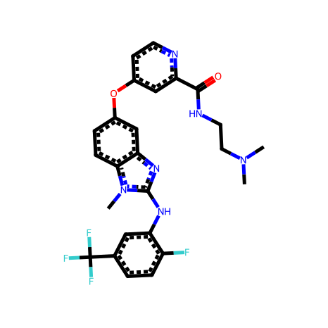 CN(C)CCNC(=O)c1cc(Oc2ccc3c(c2)nc(Nc2cc(C(F)(F)F)ccc2F)n3C)ccn1